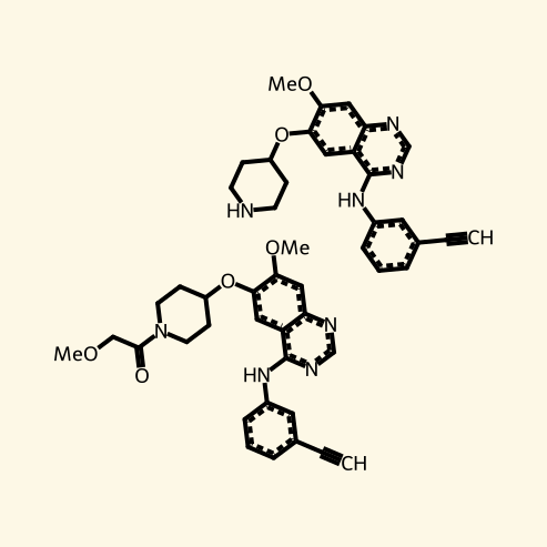 C#Cc1cccc(Nc2ncnc3cc(OC)c(OC4CCN(C(=O)COC)CC4)cc23)c1.C#Cc1cccc(Nc2ncnc3cc(OC)c(OC4CCNCC4)cc23)c1